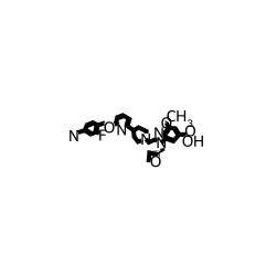 COc1cc(C(=O)O)cc2c1nc(CN1CCC(c3cccc(OCc4ccc(C#N)cc4F)n3)CC1)n2C[C@@H]1CCO1